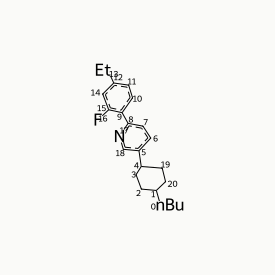 CCCCC1CCC(c2ccc(-c3ccc(CC)cc3F)nc2)CC1